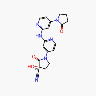 N#C[C@@]1(O)CCN(c2ccnc(Nc3cc(N4CCCC4=O)ccn3)c2)C1=O